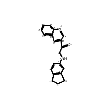 O=C(CNc1ccc2c(c1)CCC2)c1cnc2ccccc2c1